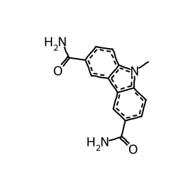 Cn1c2ccc(C(N)=O)cc2c2cc(C(N)=O)ccc21